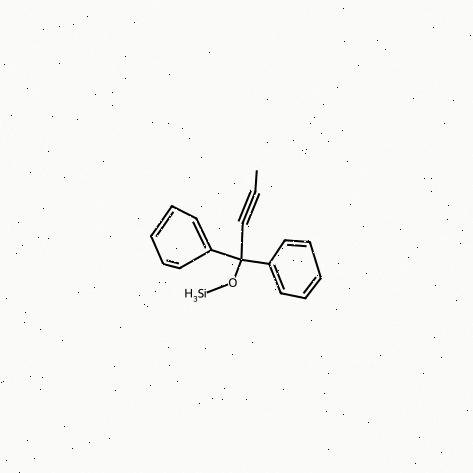 CC#CC(O[SiH3])(c1ccccc1)c1ccccc1